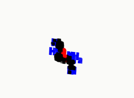 Cc1ccc(C(=O)Nc2cccc([C@H](C)Oc3cc(-c4cnn(C)c4)cnc3N)c2)cc1N(C)C